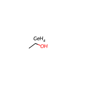 CCO.[GeH4]